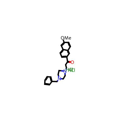 COc1ccc2cc(C(=O)CCN3CCN(Cc4ccccc4)CC3)ccc2c1.Cl.Cl